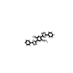 Nc1cc(-c2nnc(-c3ccccc3)o2)c(Cl)cc1-c1nnc(-c2ccccc2)o1